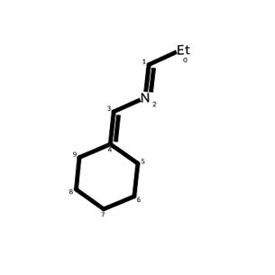 CCC=NC=C1CCCCC1